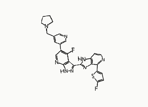 Fc1ccc(-c2nccc3[nH]c(-c4n[nH]c5ncc(-c6cncc(CN7CCCC7)c6)c(F)c45)nc23)s1